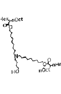 CCCCCCCCC(CCCCCC)C(=O)OCCCCCCCCCN(CCCCO)CCCCCCCCCOC(=O)C(CCCCCCC)CCCCCCCC